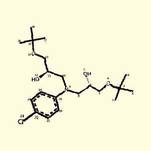 CC(C)(C)OC[C@@H](O)CN(C[C@@H](O)COC(C)(C)C)c1ccc(Cl)cc1